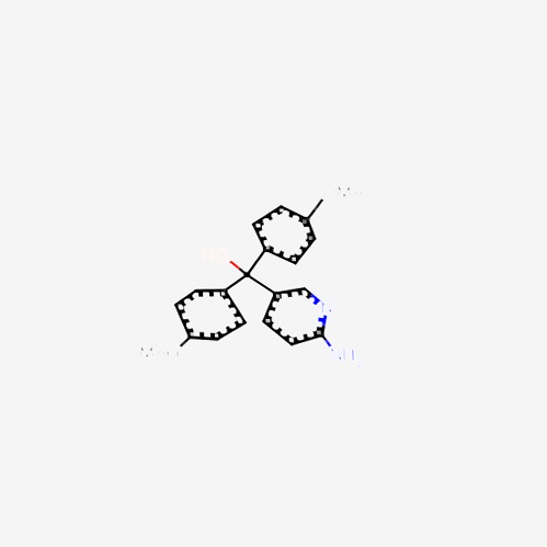 COc1ccc(C(O)(c2ccc(OC)cc2)c2ccc(N)nc2)cc1